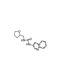 O=C(NCC1CCCO1)Nc1cnc2ccccc2c1